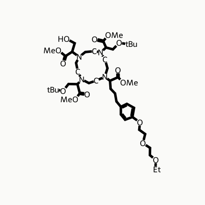 CCOCCOCCOc1ccc(CCCC(C(=O)OC)N2CCN(C(COC(C)(C)C)C(=O)OC)CCN(C(CO)C(=O)OC)CCN(C(COC(C)(C)C)C(=O)OC)CC2)cc1